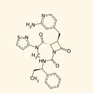 CC[C@@H](NC(=O)N1C(=O)[C@H](Cc2ccnc(N)c2)[C@H]1C(=O)N(C)c1ccsn1)c1ccccc1